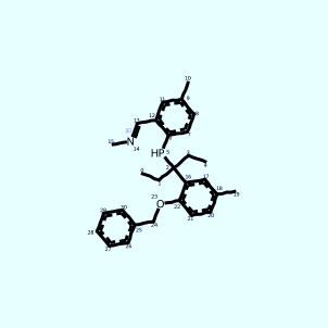 CCC(CC)(Pc1ccc(C)cc1/C=N/C)c1cc(C)ccc1OCc1ccccc1